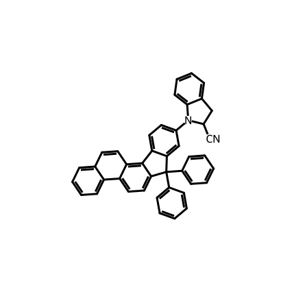 N#CC1Cc2ccccc2N1c1ccc2c(c1)C(c1ccccc1)(c1ccccc1)c1ccc3c(ccc4ccccc43)c1-2